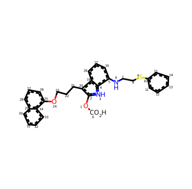 O=C(O)Oc1[nH]c2c(NCCSc3ccccc3)cccc2c1CCCOc1cccc2ccccc12